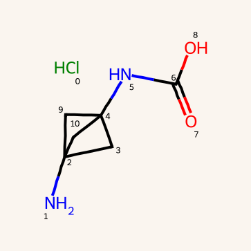 Cl.NC12CC(NC(=O)O)(C1)C2